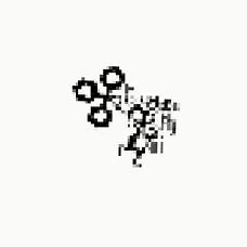 CC(C)(C)O[C@@]1(C)[C@]([SiH3])(n2cc(F)c(=O)[nH]c2=O)O[C@H](COC(c2ccccc2)(c2ccccc2)c2ccccc2)[C@@]1(C)O